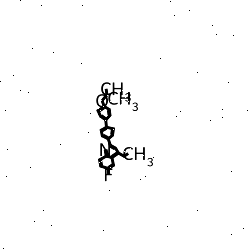 CCc1cc(-c2ccc(-c3ccc(OC(C)C)cc3)cc2)nc2ccc(F)cc12